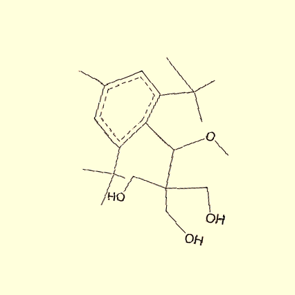 COC(c1c(C(C)(C)C)cc(C)cc1C(C)(C)C)C(CO)(CO)CO